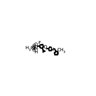 Cc1ccccc1CN1CCC(COc2cc(F)c(C(=O)NS(C)(=O)=O)cc2C2CC2)CC1